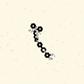 CC(C)(CC(O)CC1CN(c2ccc(C3CCN(c4ccc(C#N)c(C(F)(F)F)c4)CC3)cc2)C1)[SiH](c1ccccc1)c1ccccc1